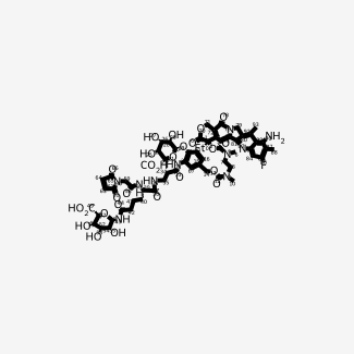 CC[C@@]1(OC(=O)N(C)CCN(C)C(=O)OCc2ccc(O[C@@H]3O[C@H](C(=O)O)[C@@H](O)[C@H](O)[C@H]3O)c(NC(=O)CCNC(=O)[C@H](CCCC(=O)N[C@@H]3O[C@H](C(=O)O)[C@@H](O)[C@H](O)[C@H]3O)NC(=O)CN3C(=O)C=CC3=O)c2)C(=O)OCc2c1cc1n(c2=O)Cc2c-1nc1cc(F)c(C)c(N)c1c2C